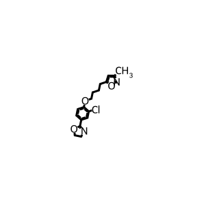 Cc1cc(CCCCOc2ccc(C3=NCCO3)cc2Cl)on1